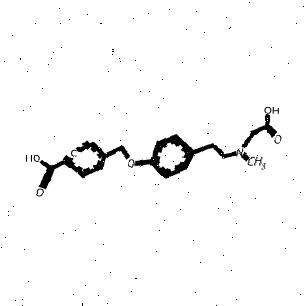 CN(CCc1ccc(OCc2ccc(C(=O)O)cc2)cc1)CC(=O)O